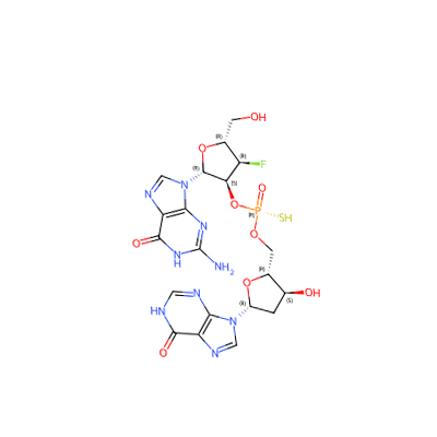 Nc1nc2c(ncn2[C@@H]2O[C@H](CO)[C@@H](F)[C@H]2O[P@](=O)(S)OC[C@H]2O[C@@H](n3cnc4c(=O)[nH]cnc43)C[C@@H]2O)c(=O)[nH]1